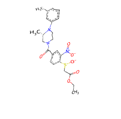 CCOC(=O)C[S+]([O-])c1ccc(C(=O)N2CCN(c3cccc(C)c3)[C@@H](C)C2)cc1[N+](=O)[O-]